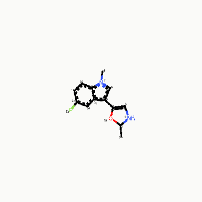 CC1NC=C(c2cn(C)c3ccc(F)cc23)O1